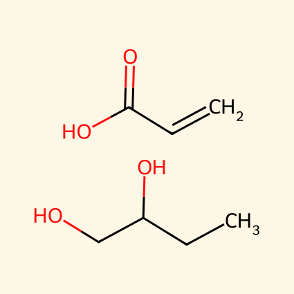 C=CC(=O)O.CCC(O)CO